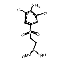 CCCCN(CCCC)CCS(=O)(=O)c1cc(Cl)c(N)c(Cl)c1